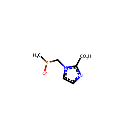 C[S+]([O-])Cn1ccnc1C(=O)O